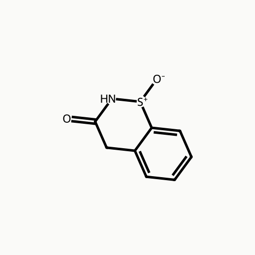 O=C1Cc2ccccc2[S+]([O-])N1